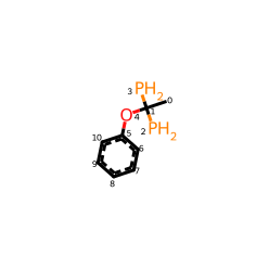 CC(P)(P)Oc1ccccc1